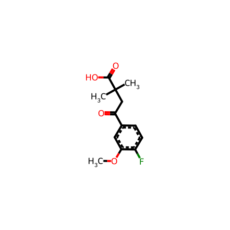 COc1cc(C(=O)CC(C)(C)C(=O)O)ccc1F